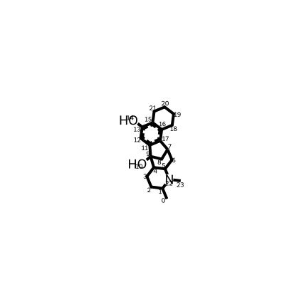 CC1CCC2C(CC3CC2(O)c2cc(O)c4c(c23)CCCC4)N1C